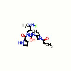 C=CC(=O)N1CC(NC(O)N(CC(C)C(=C)NF)C(=O)c2ccc[nH]2)C1